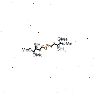 COC(OC)C([SiH3])CCSSCCC([SiH3])C(OC)OC